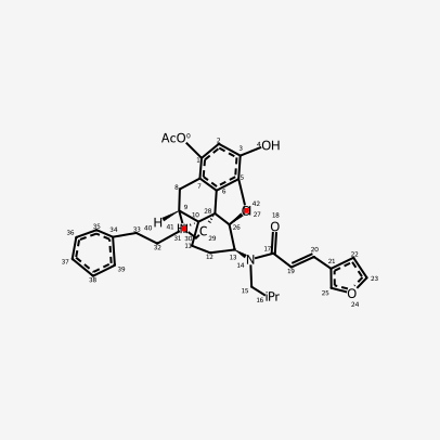 CC(=O)Oc1cc(O)c2c3c1C[C@@H]1[C@@H]4CC[C@H](N(CC(C)C)C(=O)C=Cc5ccoc5)[C@@H](O2)[C@]34CCN1CCc1ccccc1